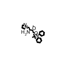 COC(CO[Si](c1ccccc1)(c1ccccc1)C(C)(C)C)C(N)Cn1cccn1